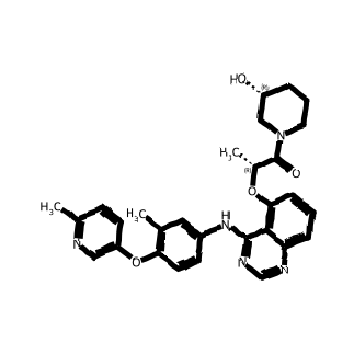 Cc1ccc(Oc2ccc(Nc3ncnc4cccc(O[C@H](C)C(=O)N5CCC[C@@H](O)C5)c34)cc2C)cn1